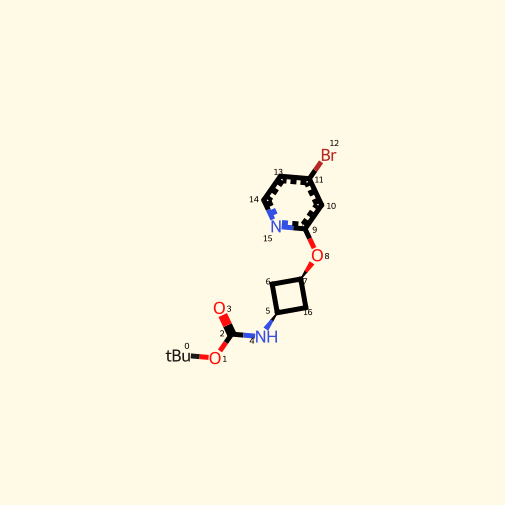 CC(C)(C)OC(=O)N[C@H]1C[C@@H](Oc2cc(Br)ccn2)C1